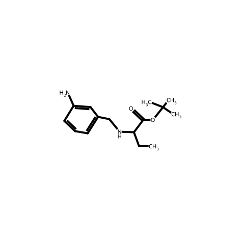 CCC(NCc1cccc(N)c1)C(=O)OC(C)(C)C